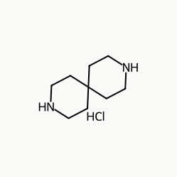 C1CC2(CCN1)CCNCC2.Cl